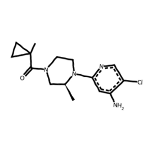 C[C@H]1CN(C(=O)C2(C)CC2)CCN1c1cc(N)c(Cl)cn1